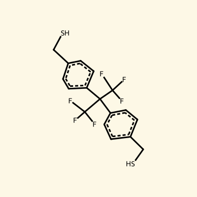 FC(F)(F)C(c1ccc(CS)cc1)(c1ccc(CS)cc1)C(F)(F)F